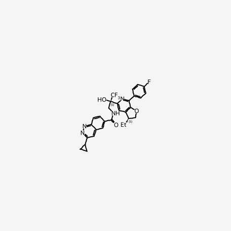 CC[C@@H]1COc2c1cc([C@@](O)(CNC(=O)c1ccc3nnc(C4CC4)cc3c1)C(F)(F)F)nc2-c1ccc(F)cc1